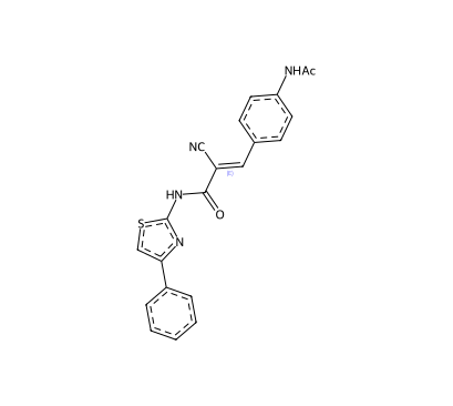 CC(=O)Nc1ccc(/C=C(\C#N)C(=O)Nc2nc(-c3ccccc3)cs2)cc1